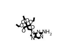 CCOC(=O)C(CCn1cnc2cnc(N)nc21)(C(=O)OCC)C1OC(C)O1